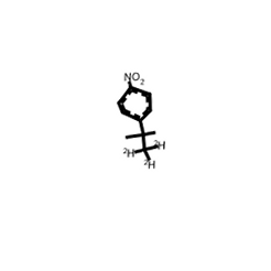 [2H]C([2H])([2H])C(C)(C)c1ccc([N+](=O)[O-])cc1